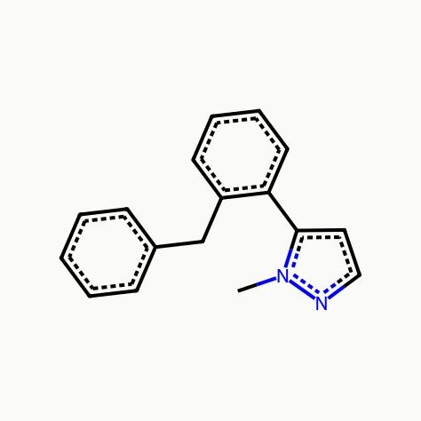 Cn1nccc1-c1ccccc1Cc1ccccc1